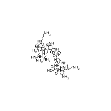 C[C@H](O)[C@H](NC(=O)[C@H](CCN)NC(=O)[C@@H](N)CCCCN)C(=O)NCC(=O)/N=C(\CCCN)C(=O)N1CCC[C@H]1C(=O)N[C@@H](Cc1cnc[nH]1)C(=O)N[C@@H](CCCCN)C(=O)N/C(=C\CCNC(=N)N)C(=O)N[C@@H](CCCCN)C(=O)NCCCCN